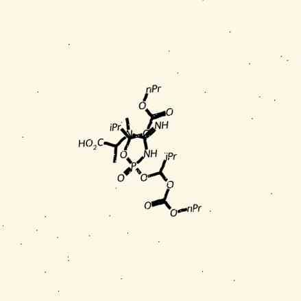 CCCOC(=O)OC(OP(=O)(NC(=N)N(C)C(C)C(=O)O)OC(OC(=O)OCCC)C(C)C)C(C)C